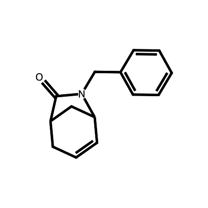 O=C1C2CC=CC(C2)N1Cc1ccccc1